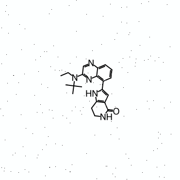 CCN(c1cnc2cccc(-c3cc4c([nH]3)CCNC4=O)c2n1)C(C)(C)C